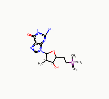 C=P(C)(C)CCC1OC(n2cnc3c(=O)[nH]c(N)nc32)[C@H](C)[C@@H]1O